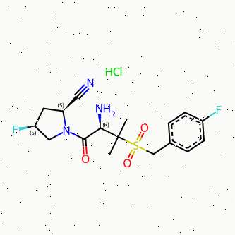 CC(C)([C@H](N)C(=O)N1C[C@@H](F)C[C@H]1C#N)S(=O)(=O)Cc1ccc(F)cc1.Cl